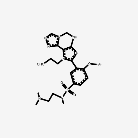 CCCOc1ccc(S(=O)(=O)N(C)CCN(C)C)cc1-c1nc2c(n1CCC=O)-c1nncn1CN2